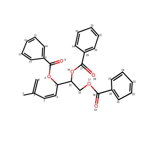 C=C(C)/C=C\C(OC(=O)c1ccccc1)C(COC(=O)c1ccccc1)OC(=O)c1ccccc1